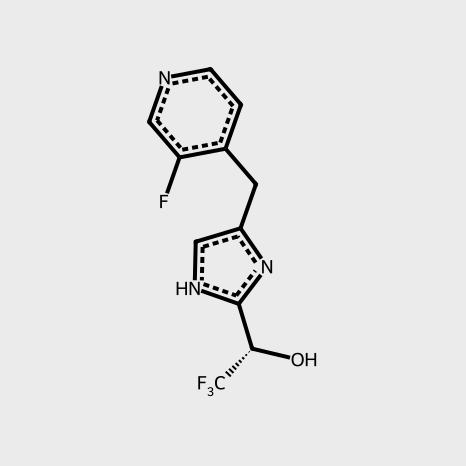 O[C@@H](c1nc(Cc2ccncc2F)c[nH]1)C(F)(F)F